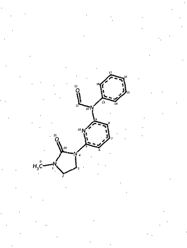 CN1CCN(c2cccc(N(C=O)c3ccccc3)n2)C1=O